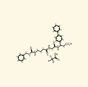 O=C(O)C(F)(F)F.O=C(O)CC(NC(=O)CNC(=O)CCCNC(=O)OCc1ccccc1)c1ccc(-c2ccccc2)cc1